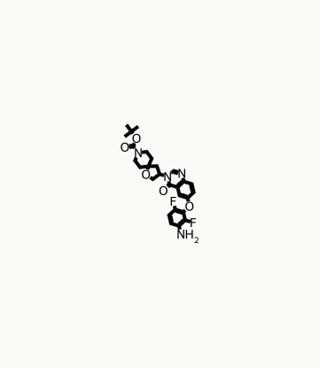 CC(C)(C)OC(=O)N1CCC2(CC1)CC(n1cnc3ccc(Oc4c(F)ccc(N)c4F)cc3c1=O)CO2